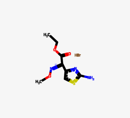 Br.CCOC(=O)/C(=N/OC)c1csc(N)n1